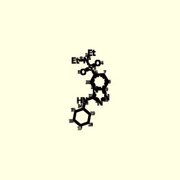 CCN(CC)S(=O)(=O)c1ccc2nnc(NC3CCCCC3)n2c1